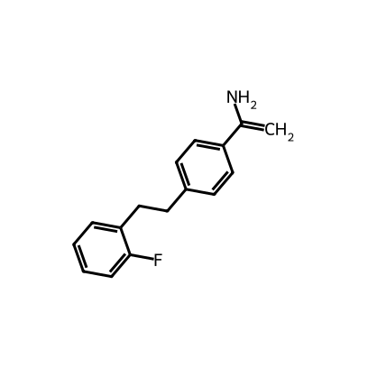 C=C(N)c1ccc(CCc2ccccc2F)cc1